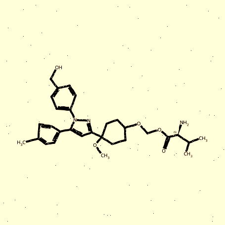 COC1(c2cc(-c3ccc(C)cc3)n(-c3ccc(CO)cc3)n2)CCC(OCOC(=O)[C@@H](N)C(C)C)CC1